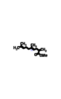 C=C(C/C=C(\C)CCC=C(C)C)C(=O)OC